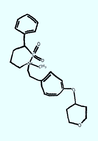 C[N+]1(Cc2ccc(OC3CCOCC3)cc2)CCCC(c2ccccc2)S1(=O)=O